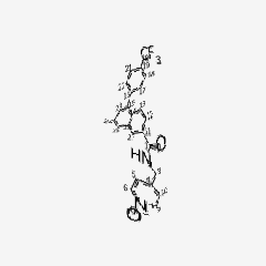 O=C(NCc1cc[n+]([O-])cc1)c1ccc2c(-c3ccc(C(F)(F)F)cc3)cccc2c1